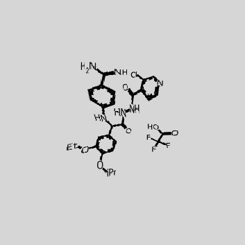 CCOc1cc(C(Nc2ccc(C(=N)N)cc2)C(=O)NNC(=O)c2ccncc2Cl)ccc1OC(C)C.O=C(O)C(F)(F)F